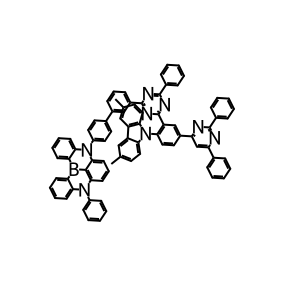 Cc1ccc2c(c1)c1cc(C)ccc1n2-c1ccc(-c2cc(-c3ccccc3)nc(-c3ccccc3)n2)cc1-c1nc(-c2ccccc2)nc(-c2cccc(-c3ccc(N4c5ccccc5B5c6ccccc6N(c6ccccc6)c6cccc4c65)cc3)c2)n1